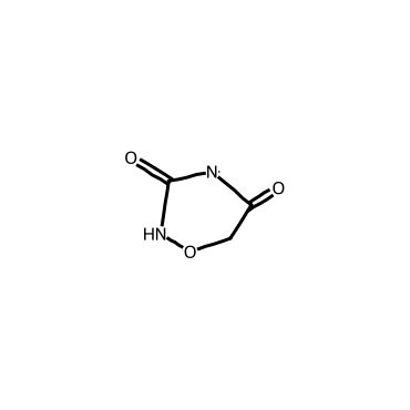 O=C1CONC(=O)[N]1